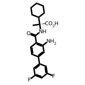 C[C@@](NC(=O)c1ccc(-c2cc(F)cc(F)c2)cc1N)(C(=O)O)C1CCCCC1